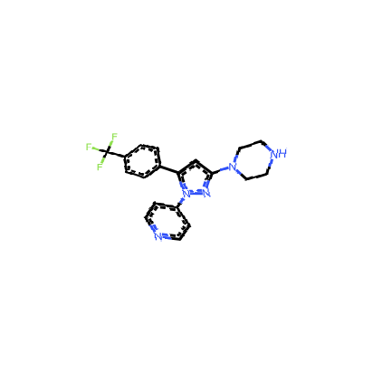 FC(F)(F)c1ccc(-c2cc(N3CCNCC3)nn2-c2ccncc2)cc1